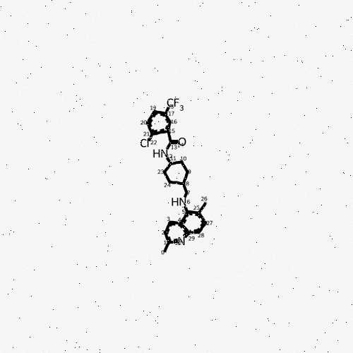 Cc1ccc2c(NCC3CCC(NC(=O)c4cc(C(F)(F)F)ccc4Cl)CC3)c(C)ccc2n1